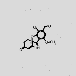 COc1cc(C=O)c(Cl)c2c1C(=O)[C@@]1(CCC(=O)C=C1O)O2